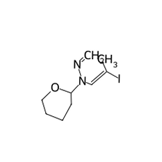 C=NN(/C=C(\C)I)C1CCCCO1